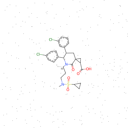 C[C@@H](CCN(C)S(=O)(=O)C1CC1)N1C(=O)C2(CC(c3cccc(Cl)c3)C1c1ccc(Cl)cc1)CC2C(=O)O